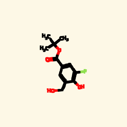 CC(C)(C)OC(=O)c1cc(F)c(O)c(CO)c1